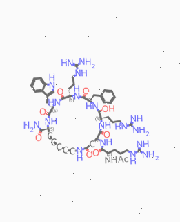 CC(=O)N[C@@H](CCCNC(=N)N)C(=O)N[C@H]1CC(=O)NCCCCC[C@@H](C(N)=O)NC(=O)[C@H](Cc2c[nH]c3ccccc23)NC(=O)[C@H](CCCNC(=N)N)NC(=O)[C@@H](Cc2ccccc2)NC(O)[C@@H](CCCNC(=N)N)NC1=O